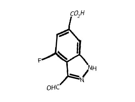 O=Cc1n[nH]c2cc(C(=O)O)cc(F)c12